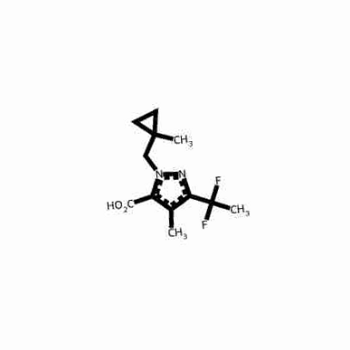 Cc1c(C(C)(F)F)nn(CC2(C)CC2)c1C(=O)O